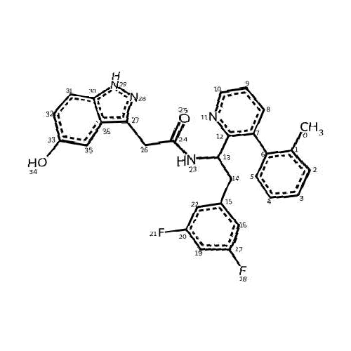 Cc1ccccc1-c1cccnc1C(Cc1cc(F)cc(F)c1)NC(=O)Cc1n[nH]c2ccc(O)cc12